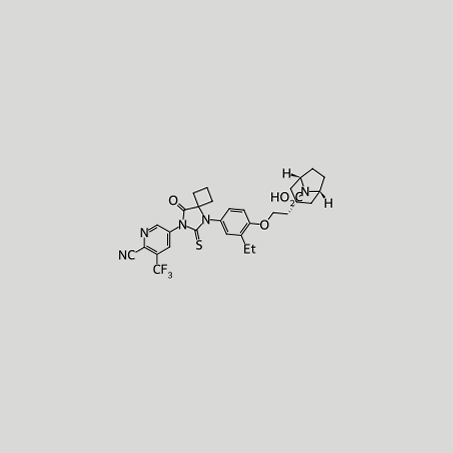 CCc1cc(N2C(=S)N(c3cnc(C#N)c(C(F)(F)F)c3)C(=O)C23CCC3)ccc1OCC[C@H]1C[C@H]2CC[C@@H](C1)N2C(=O)O